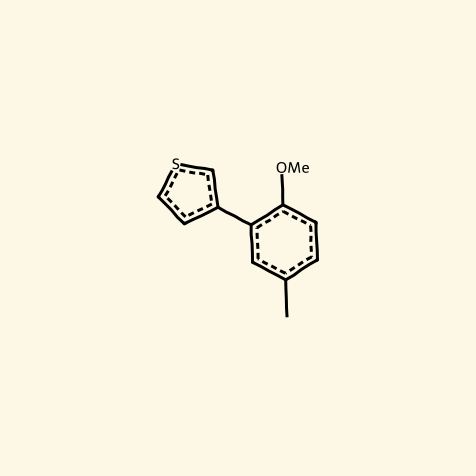 COc1ccc(C)cc1-c1ccsc1